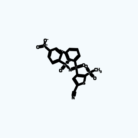 CS(=O)(=O)c1sc(C#N)cc1S(=O)(=NS(=O)(=O)c1ccc([N+](=O)[O-])cc1)c1cccc(Br)c1